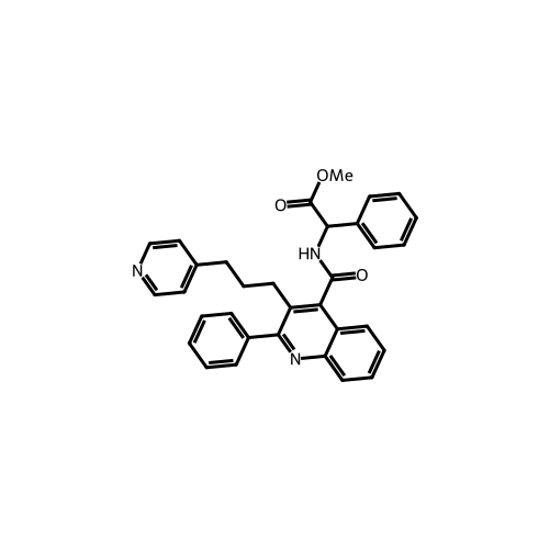 COC(=O)C(NC(=O)c1c(CCCc2ccncc2)c(-c2ccccc2)nc2ccccc12)c1ccccc1